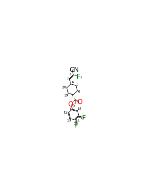 N#CC(F)=C[C@H]1CC[C@H](C(=O)Oc2ccc(F)c(F)c2)CC1